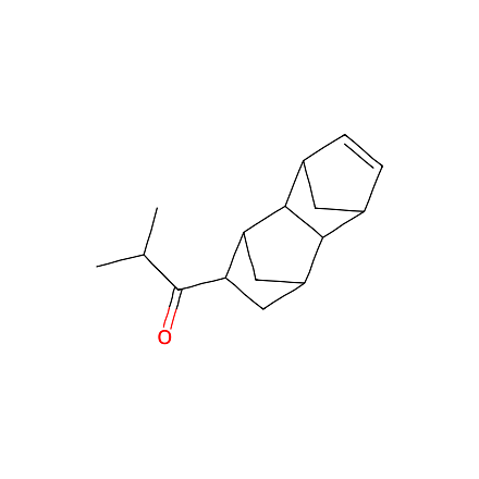 CC(C)C(=O)C1CC2CC1C1C3C=CC(C3)C21